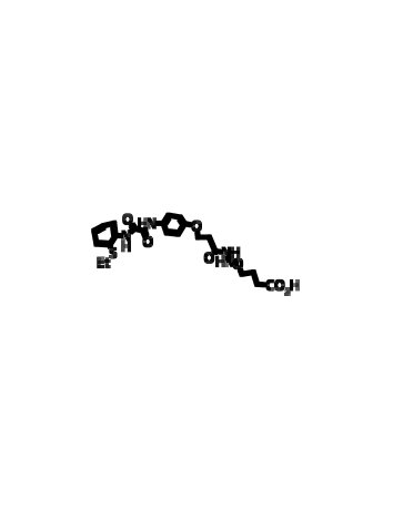 CCSc1ccccc1NC(=O)C(=O)Nc1ccc(OCCC(=O)NNOCCCC(=O)O)cc1